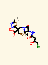 Cc1nnc(C2(C(=O)O)CS[C@@H]3C(NC(=O)CC(=O)CBr)C(=O)N3C2)s1